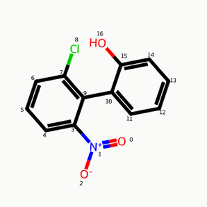 O=[N+]([O-])c1cccc(Cl)c1-c1ccccc1O